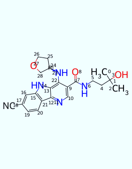 CC(C)(O)CCNC(=O)c1cnc2c([nH]c3cc(C#N)ccc32)c1N[C@@H]1CCOC1